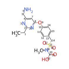 CCc1nc(CN)cc(Oc2ccc(CS(=O)(=O)N(C)C(=O)O)cc2)n1